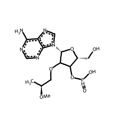 CO[C@@H](C)COC1C(O[PH](=O)O)[C@@H](CO)O[C@H]1n1cnc2c(N)ncnc21